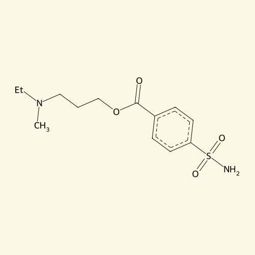 CCN(C)CCCOC(=O)c1ccc(S(N)(=O)=O)cc1